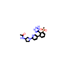 CC(=O)NC1CCN(c2ccc(-c3cccc(S(C)(=O)=O)c3-c3nnn[nH]3)cn2)C1